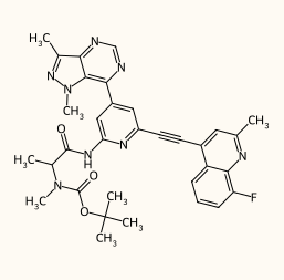 Cc1cc(C#Cc2cc(-c3ncnc4c(C)nn(C)c34)cc(NC(=O)C(C)N(C)C(=O)OC(C)(C)C)n2)c2cccc(F)c2n1